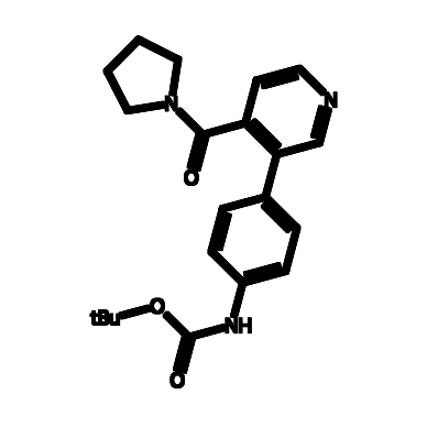 CC(C)(C)OC(=O)Nc1ccc(-c2cnccc2C(=O)N2CCCC2)cc1